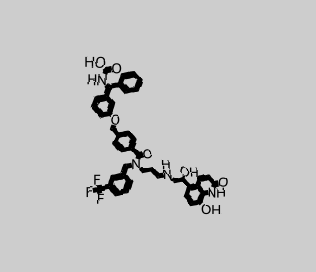 O=C(O)NC(c1ccccc1)c1cccc(OCc2ccc(C(=O)N(CCCNC[C@@H](O)c3ccc(O)c4[nH]c(=O)ccc34)Cc3cccc(C(F)(F)F)c3)cc2)c1